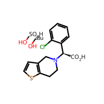 CCC(C)O.O=C(O)[C@H](c1ccccc1Cl)N1CCc2sccc2C1.O=S(=O)(O)O